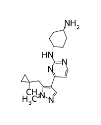 Cn1ncc(-c2ccnc(N[C@H]3CC[C@H](N)CC3)n2)c1CC1(C)CC1